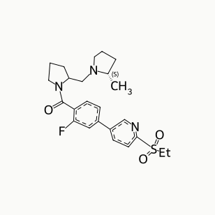 CCS(=O)(=O)c1ccc(-c2ccc(C(=O)N3CCCC3CN3CCC[C@@H]3C)c(F)c2)cn1